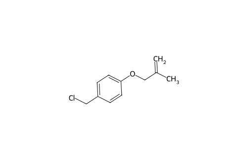 C=C(C)COc1ccc(CCl)cc1